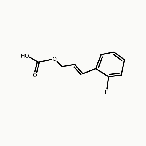 O=C(O)OCC=Cc1ccccc1F